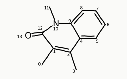 Cc1c(C)c2ccccc2n(C)c1=O